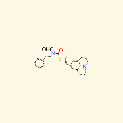 C/C(=C\C1=CC2CCCN3CCCC(=C1)C23)SC(=O)N(C=O)CCc1ccccc1